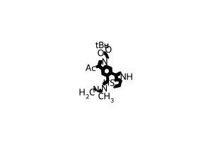 C=N/C(C)=N\C=C1\c2cc3c(C(C)=O)cn(CC(=O)OC(C)(C)C)c3cc2-c2c[nH]c3c2[SH]1C=C3